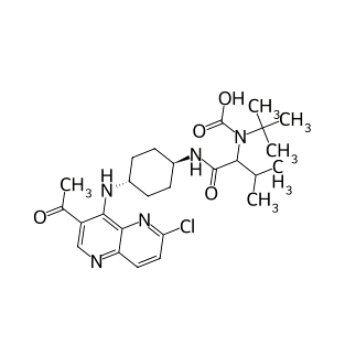 CC(=O)c1cnc2ccc(Cl)nc2c1N[C@H]1CC[C@H](NC(=O)C(C(C)C)N(C(=O)O)C(C)(C)C)CC1